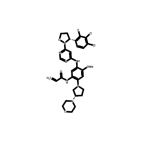 C=CC(=O)Nc1cc(Nc2cc(N3OCC[C@@H]3c3ccc(Cl)c(Cl)c3F)ncn2)c(OC)cc1N1CC[C@H](N2CCOCC2)C1